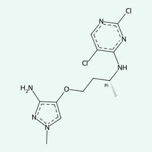 C[C@H](CCOc1cn(C)nc1N)Nc1nc(Cl)ncc1Cl